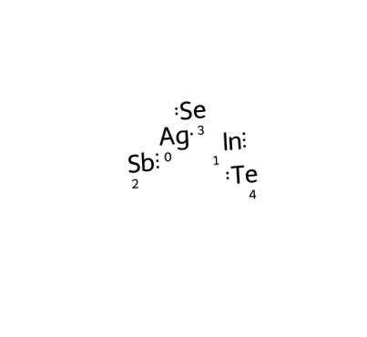 [Ag].[In].[Sb].[Se].[Te]